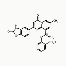 Cc1cc([C@@H](C)Nc2ccccc2C(=O)O)c2nc(-c3ccc4sc(=O)[nH]c4c3)cc(=O)n2c1